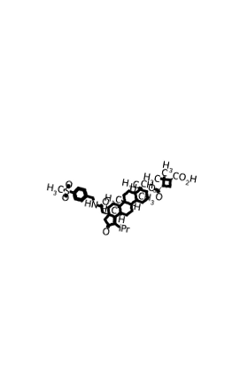 CC(C)C1=C2[C@H]3CC[C@@H]4[C@@]5(C)CC[C@H](OC(=O)[C@H]6C[C@@H](C(=O)O)C6(C)C)C(C)(C)[C@@H]5CC[C@@]4(C)[C@]3(C)CC[C@@]2(CC(=O)NCc2ccc(S(C)(=O)=O)cc2)CC1=O